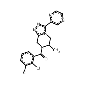 CC1Cn2c(nnc2-c2cnccn2)CN1C(=O)c1cccc(Cl)c1Cl